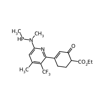 CCOC(=O)C1CCC(c2nc(N(C)PC)cc(C)c2C(F)(F)F)=CC1=O